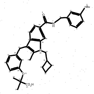 CCCCc1cccc(CNC(=O)c2ccc3c(Cc4cccc(OC(C)(C)C(=O)O)c4)c(C)n(CC4CCC4)c3c2)c1